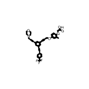 Cc1cc(OCC#Cc2cc(C#CCN3CCOCC3)cc(C#Cc3ccc(C(F)(F)F)cc3)c2)ccc1OCC(=O)O